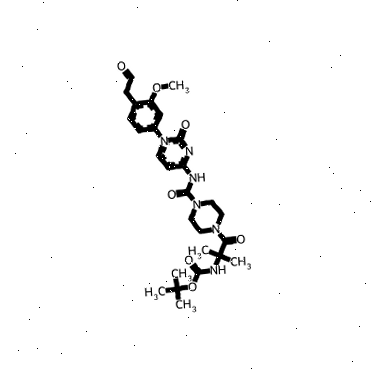 COc1cc(-n2ccc(NC(=O)N3CCN(C(=O)C(C)(C)NC(=O)OC(C)(C)C)CC3)nc2=O)ccc1CC=O